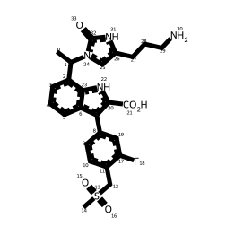 CC(c1cccc2c(-c3ccc(CS(C)(=O)=O)c(F)c3)c(C(=O)O)[nH]c12)n1cc(CCCN)[nH]c1=O